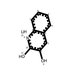 Oc1cc2ccccc2nc1O.[LiH]